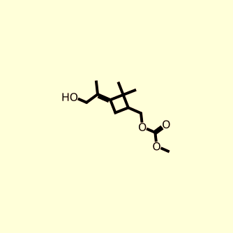 COC(=O)OCC1C/C(=C(/C)CO)C1(C)C